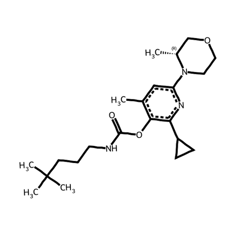 Cc1cc(N2CCOC[C@H]2C)nc(C2CC2)c1OC(=O)NCCCC(C)(C)C